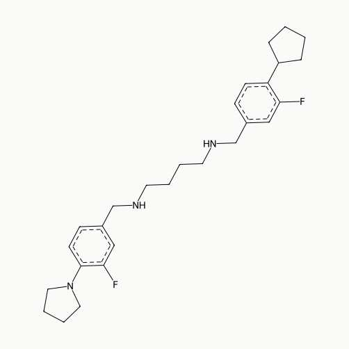 Fc1cc(CNCCCCNCc2ccc(N3CCCC3)c(F)c2)ccc1C1CCCC1